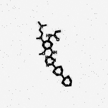 C=CC(=O)Nc1cc(Nc2ncnc(-c3ccc(-c4ccccc4)cc3)n2)c(OC)cc1N(C)CCN(C)C